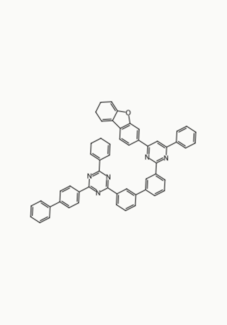 C1=CC(c2nc(-c3ccc(-c4ccccc4)cc3)nc(-c3cccc(-c4cccc(-c5nc(-c6ccccc6)cc(-c6ccc7c8c(oc7c6)=CCCC=8)n5)c4)c3)n2)=CCC1